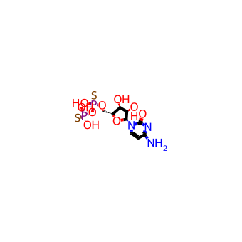 Nc1ccn([C@@H]2O[C@H](COP(O)(=S)OP(O)(O)=S)[C@@H](O)[C@H]2O)c(=O)n1